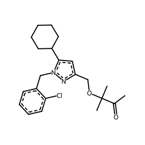 CC(=O)C(C)(C)OCc1cc(C2CCCCC2)n(Cc2ccccc2Cl)n1